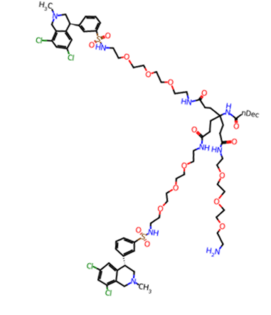 CCCCCCCCCCC(=O)NC(CCC(=O)NCCOCCOCCOCCN)(CCC(=O)NCCOCCOCCOCCNS(=O)(=O)c1cccc([C@@H]2CN(C)Cc3c(Cl)cc(Cl)cc32)c1)CCC(=O)NCCOCCOCCOCCNS(=O)(=O)c1cccc([C@@H]2CN(C)Cc3c(Cl)cc(Cl)cc32)c1